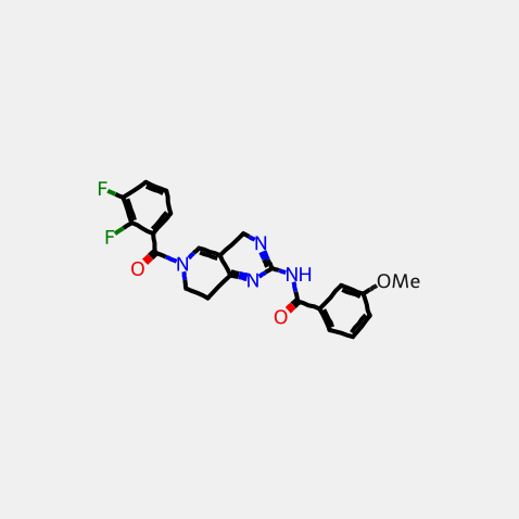 COc1cccc(C(=O)NC2=NCC3=CN(C(=O)c4cccc(F)c4F)CCC3=N2)c1